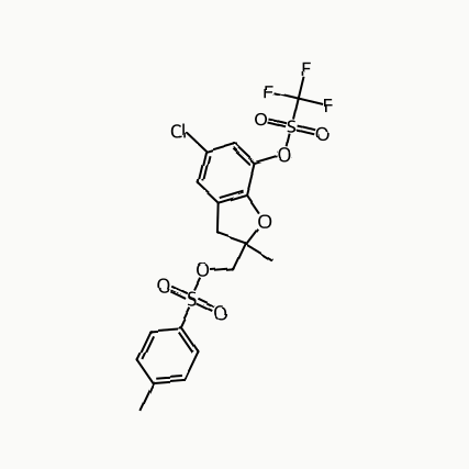 Cc1ccc(S(=O)(=O)OCC2(C)Cc3cc(Cl)cc(OS(=O)(=O)C(F)(F)F)c3O2)cc1